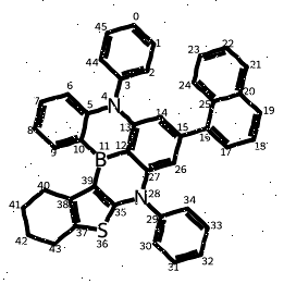 c1ccc(N2c3ccccc3B3c4c2cc(-c2cccc5ccccc25)cc4N(c2ccccc2)c2sc4c(c23)CCCC4)cc1